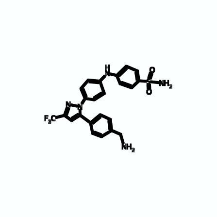 NCc1ccc(-c2cc(C(F)(F)F)nn2-c2ccc(Nc3ccc(S(N)(=O)=O)cc3)cc2)cc1